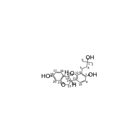 CC(C)(O)CCc1c(O)ccc2c1O[C@H]1c3ccc(O)cc3OC[C@@H]21